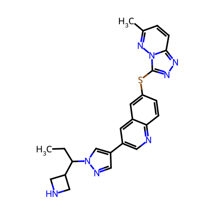 CCC(C1CNC1)n1cc(-c2cnc3ccc(Sc4nnc5ccc(C)nn45)cc3c2)cn1